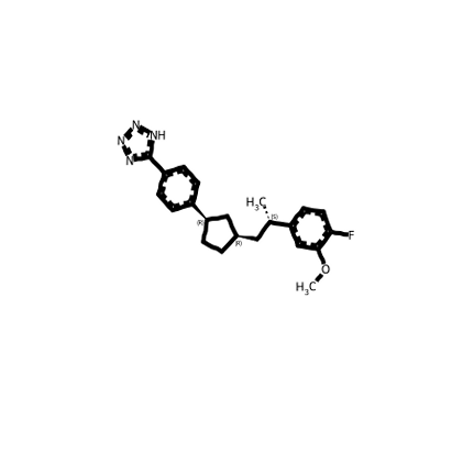 COc1cc([C@@H](C)C[C@H]2CC[C@@H](c3ccc(-c4nnn[nH]4)cc3)C2)ccc1F